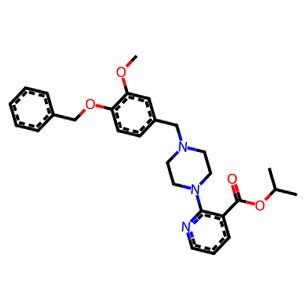 COc1cc(CN2CCN(c3ncccc3C(=O)OC(C)C)CC2)ccc1OCc1ccccc1